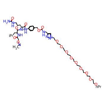 C=NOCC(=O)N[C@@H](CC(C)C)C(=O)N[C@@H](CCCNC(N)=O)C(=O)Nc1ccc(COC(=O)NCc2cn(CCOCCOCCOCCOCCOCCOCCOCCOCCOCCC)nn2)cc1